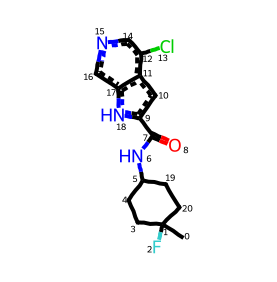 CC1(F)CCC(NC(=O)c2cc3c(Cl)cncc3[nH]2)CC1